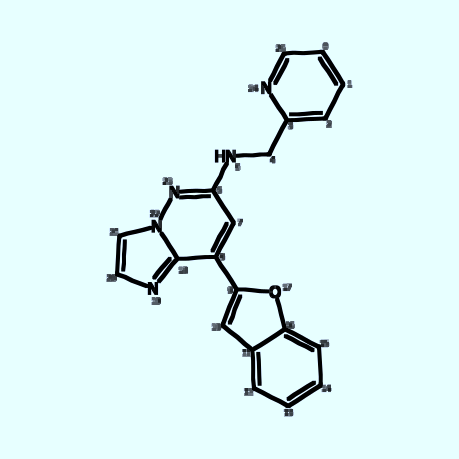 c1ccc(CNc2cc(-c3cc4ccccc4o3)c3nccn3n2)nc1